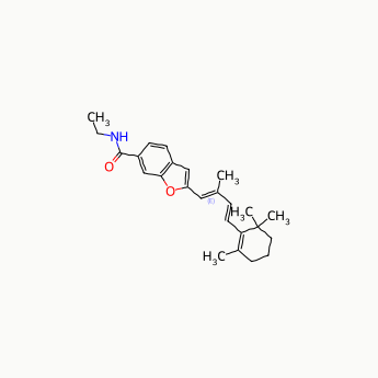 CCNC(=O)c1ccc2cc(/C=C(\C)C=CC3=C(C)CCCC3(C)C)oc2c1